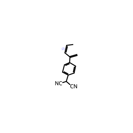 C=C(/C=C\C)c1ccc(C(C#N)C#N)cc1